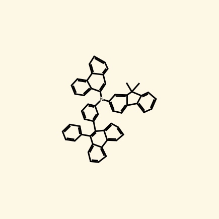 CC1(C)c2ccccc2-c2ccc(N(c3cccc(-c4c(-c5ccccc5)c5ccccc5c5ccccc45)c3)c3cc4ccccc4c4ccccc34)cc21